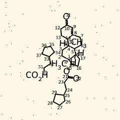 C[C@]12CC[C@H]3[C@@H](CCC4=CC(=O)CC[C@@]43C)[C@@H]1CC[C@@H]2OC(=O)CCC1CCCC1.O=C(O)CCC1CCCC1